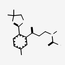 CN(CCC(=O)c1cc(Cl)ccc1C1=NC(C)(C)CO1)C(=O)O